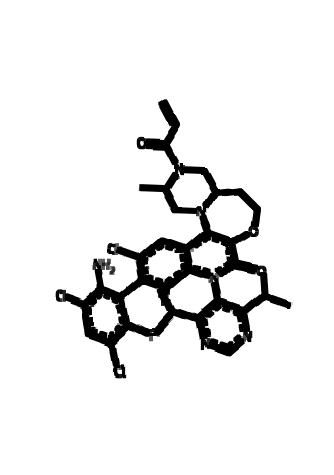 C=CC(=O)N1CC2CCOc3c(c4cc(Cl)c(-c5c(N)c(Cl)cc(Cl)c5F)c(F)c4n(-c4c(C(C)C)ncnc4C(C)C)c3=O)N2CC1C